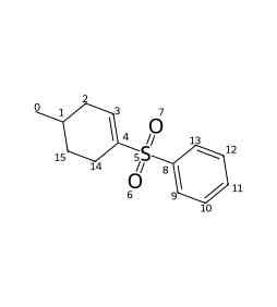 CC1CC=C(S(=O)(=O)c2ccccc2)CC1